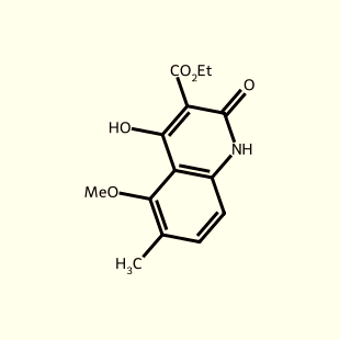 CCOC(=O)c1c(O)c2c(OC)c(C)ccc2[nH]c1=O